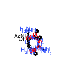 CC(=O)N[C@@H](CCCNC(=N)N)C(=O)N[C@@H]1C(=O)N2C[C@H](OCc3ccccc3)C[C@H]2C(=O)N[C@H](Cc2ccccc2)C(=O)N[C@@H](CCCNC(=N)N)C(=O)N[C@@H](Cc2c[nH]c3ccccc23)C(=O)N[C@H](C(N)=O)CCCCNCC1C=O